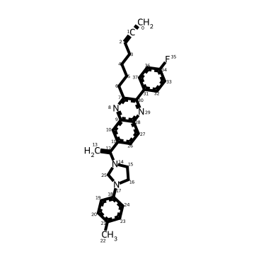 C=C=CCCCCc1nc2cc(C(=C)N3CCN(c4ccc(C)cc4)C3)ccc2nc1-c1ccc(F)cc1